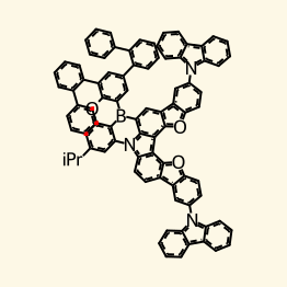 CC(C)c1cc2c3c(c1)-n1c4ccc5c6cc(-n7c8ccccc8c8ccccc87)ccc6oc5c4c4c5oc6ccc(-n7c8ccccc8c8ccccc87)cc6c5cc(c41)B3c1cc(-c3ccccc3-c3ccccc3)cc(-c3ccccc3-c3ccccc3)c1O2